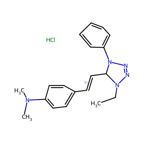 CCN1N=NN(c2ccccc2)C1/C=C/c1ccc(N(C)C)cc1.Cl